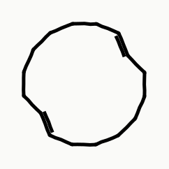 C1=C/CCCCCC/C=C/CCCCCC/1